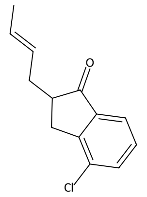 C/C=C/CC1Cc2c(Cl)cccc2C1=O